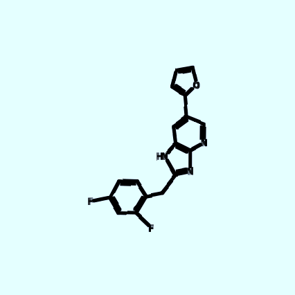 Fc1ccc(Cc2nc3ncc(-c4ccco4)cc3[nH]2)c(F)c1